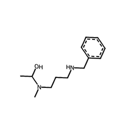 CC(O)N(C)CCCNCc1ccccc1